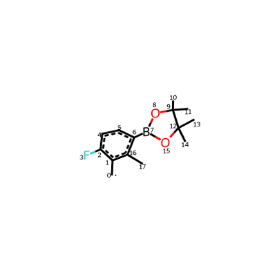 [CH2]c1c(F)ccc(B2OC(C)(C)C(C)(C)O2)c1C